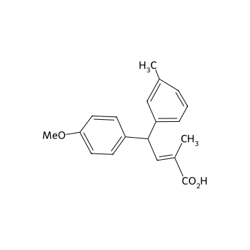 COc1ccc(C(C=C(C)C(=O)O)c2cccc(C)c2)cc1